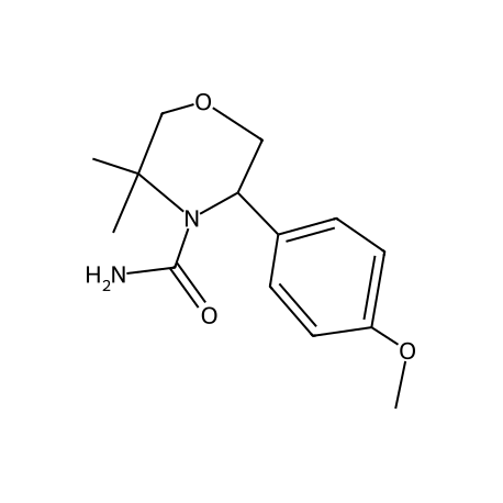 COc1ccc(C2COCC(C)(C)N2C(N)=O)cc1